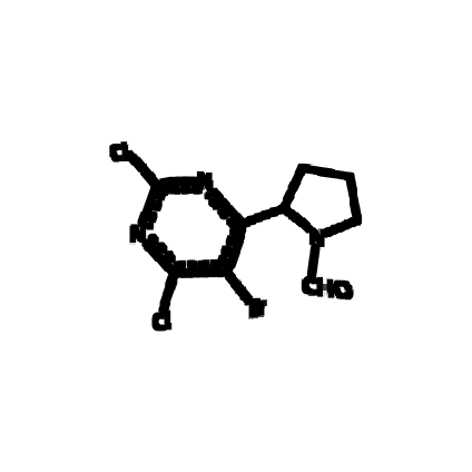 O=CN1CCCC1c1nc(Cl)nc(Cl)c1Br